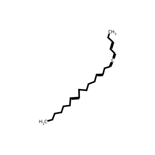 [CH2]CCCCC/C=C/CCCC/C=C/CC=C=C/C=C/CC